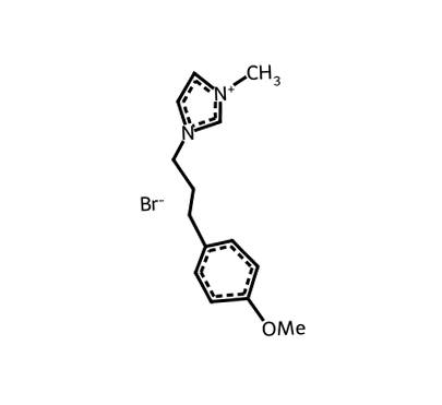 COc1ccc(CCCn2cc[n+](C)c2)cc1.[Br-]